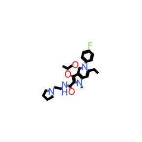 CCc1cc2c(c(OC(C)C)c(C(=O)NCCN3CCCC3)n2C)c(=O)n1-c1ccc(F)cc1